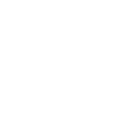 O=C(O)CC(CCCCCCCCCCCCS)C(=O)O.O=S(=O)(O)CCCCS.O=S(=O)(O)CCCS.O=S(=O)(O)CCS